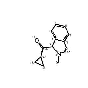 CN1[N]c2ccccc2C1C(=O)C1CC1